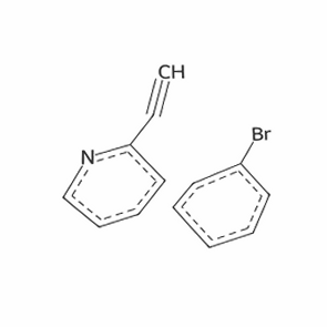 Brc1ccccc1.C#Cc1ccccn1